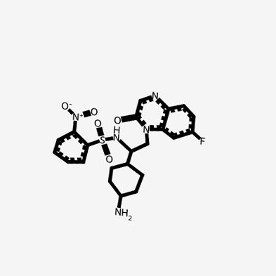 NC1CCC(C(Cn2c(=O)cnc3ccc(F)cc32)NS(=O)(=O)c2ccccc2[N+](=O)[O-])CC1